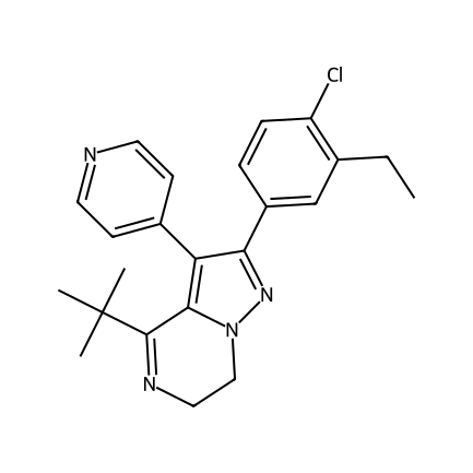 CCc1cc(-c2nn3c(c2-c2ccncc2)C(C(C)(C)C)=NCC3)ccc1Cl